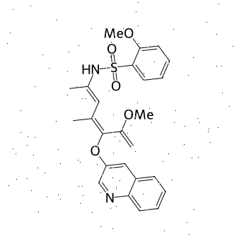 C=C(OC)/C(Oc1cnc2ccccc2c1)=C(C)\C=C(/C)NS(=O)(=O)c1ccccc1OC